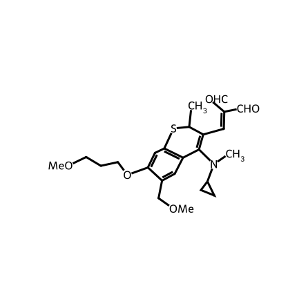 COCCCOc1cc2c(cc1COC)C(N(C)C1CC1)=C(C=C(C=O)C=O)C(C)S2